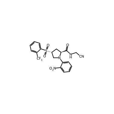 N#CCNC(=O)[C@@H]1C[C@@H](S(=O)(=O)c2ccccc2C(F)(F)F)CN1c1ccccc1[N+](=O)[O-]